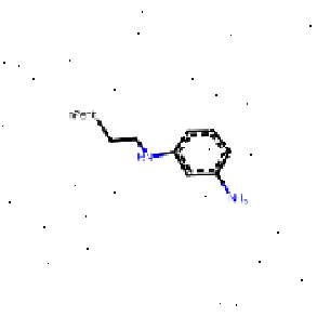 CCCCCCCNc1cccc(N)c1